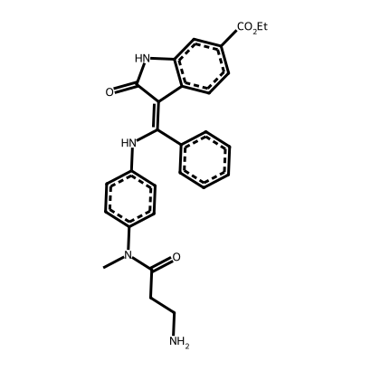 CCOC(=O)c1ccc2c(c1)NC(=O)/C2=C(\Nc1ccc(N(C)C(=O)CCN)cc1)c1ccccc1